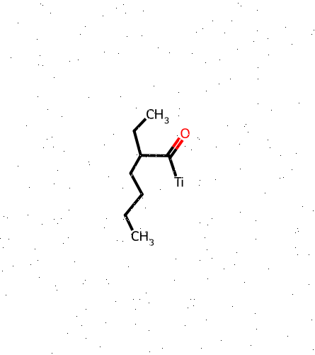 CCCCC(CC)[C](=O)[Ti]